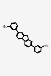 CCCCc1cccc(-c2[c]c3c(cc2)-c2ccc(-c4cccc(CCCC)c4)cc2C3)c1